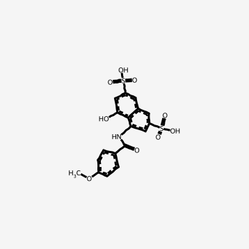 COc1ccc(C(=O)Nc2cc(S(=O)(=O)O)cc3cc(S(=O)(=O)O)cc(O)c23)cc1